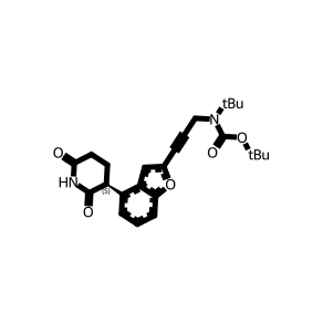 CC(C)(C)OC(=O)N(CC#Cc1cc2c([C@@H]3CCC(=O)NC3=O)cccc2o1)C(C)(C)C